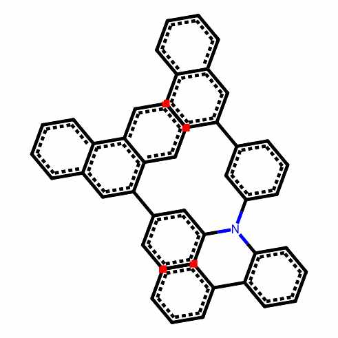 c1ccc(-c2ccccc2N(c2cccc(-c3ccc4ccccc4c3)c2)c2cccc(-c3cc4ccccc4c4ccccc34)c2)cc1